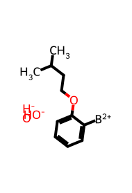 [B+2]c1ccccc1OCCC(C)C.[OH-].[OH-]